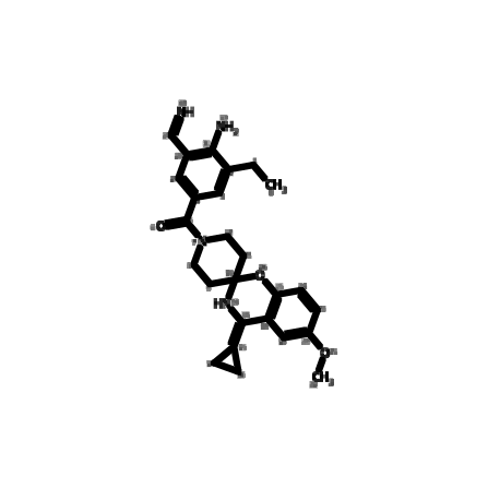 CCc1cc(C(=O)N2CCC3(CC2)NC(=C2CC2)c2cc(OC)ccc2O3)cc(C=N)c1N